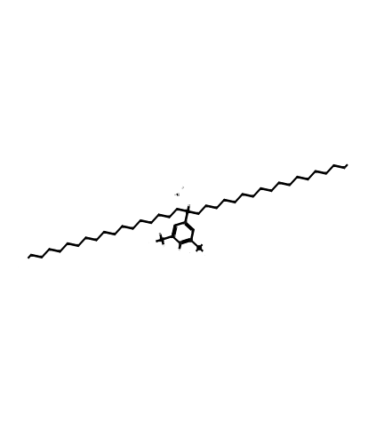 CCCCCCCCCCCCCCCCCCC(CCCCCCCCCCCCCCCCCC)(OP(O)O)c1cc(C(C)(C)C)c(O)c(C(C)(C)C)c1